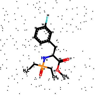 CCP(=O)(CC)N[C@@H](Cc1cccc(F)c1)C(=O)OC